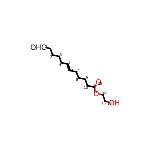 O=CCCCC/C=C/CCCCC(=O)OCCO